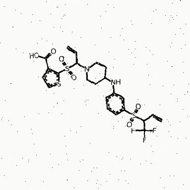 C=CC(N1CCC(Nc2cccc(S(=O)(=O)C(C=C)C(F)(F)F)c2)CC1)S(=O)(=O)c1sccc1C(=O)O